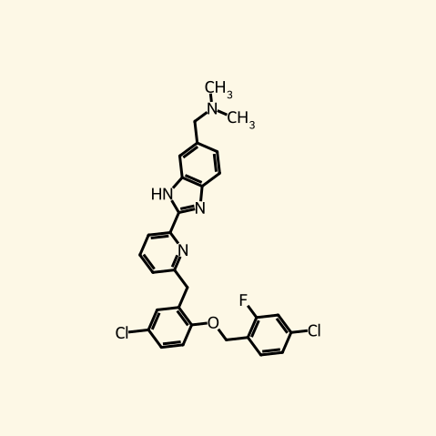 CN(C)Cc1ccc2nc(-c3cccc(Cc4cc(Cl)ccc4OCc4ccc(Cl)cc4F)n3)[nH]c2c1